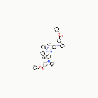 N#Cc1cc(-n2c3ccccc3c3cc(C(=O)OCc4ccccc4)ccc32)ccc1-c1nc(-c2ccccc2)nc(-c2ccc(-n3c4ccccc4c4cc(C(=O)OCc5ccccc5)ccc43)cc2-c2ccccc2C#N)n1